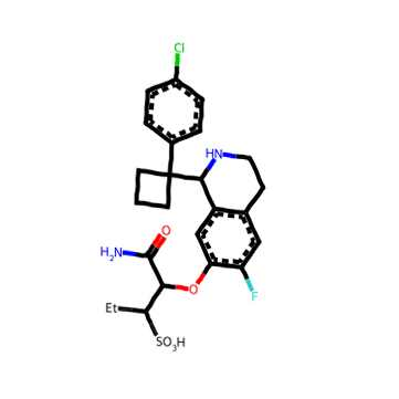 CCC(C(Oc1cc2c(cc1F)CCNC2C1(c2ccc(Cl)cc2)CCC1)C(N)=O)S(=O)(=O)O